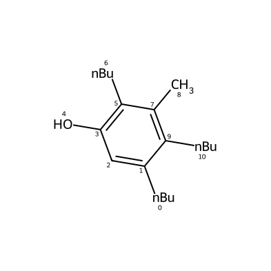 CCCCc1cc(O)c(CCCC)c(C)c1CCCC